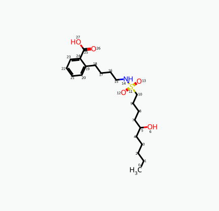 CCCCCC(O)CCCCS(=O)(=O)NCCCCc1ccccc1C(=O)O